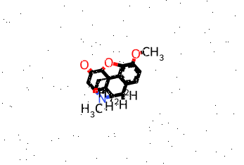 [2H]C1([2H])c2ccc(OC)c3c2[C@]24CCN(C)[C@H]1[C@]2([2H])CCC(=O)C4O3